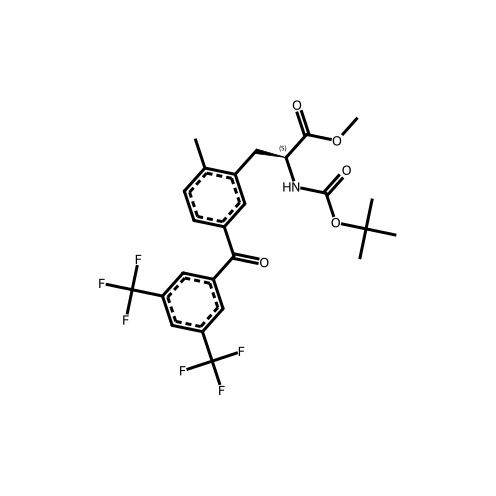 COC(=O)[C@H](Cc1cc(C(=O)c2cc(C(F)(F)F)cc(C(F)(F)F)c2)ccc1C)NC(=O)OC(C)(C)C